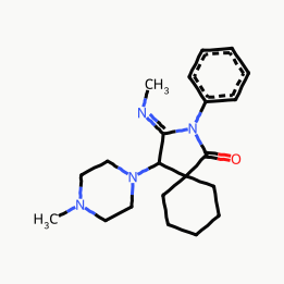 C/N=C1/C(N2CCN(C)CC2)C2(CCCCC2)C(=O)N1c1ccccc1